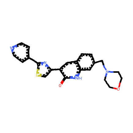 O=c1[nH]c2cc(CN3CCOCC3)ccc2cc1-c1csc(-c2ccncc2)n1